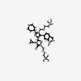 Cn1ncc2ccc(-c3c(-c4nn(COCC[Si](C)(C)C)c(=O)n4C4CC4)nc(-c4ccncc4)n3COCC[Si](C)(C)C)cc21